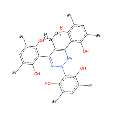 CC(C)c1cc(C(C)C)c(O)c(C2=NN(c3c(O)c(C(C)C)cc(C(C)C)c3O)NC(c3c(O)c(C(C)C)cc(C(C)C)c3O)=[C]2[Zr]([CH3])[CH3])c1O